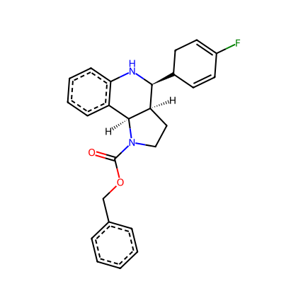 O=C(OCc1ccccc1)N1CC[C@@H]2[C@H](C3C=CC(F)=CC3)Nc3ccccc3[C@@H]21